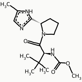 COC(=O)N[C@H](C(=O)N1CCC[C@H]1c1ncc(C)[nH]1)C(C)(C)C